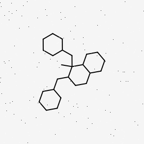 CC1(CC2CCCCC2)C(CC2CCCCC2)CCC2CCCCC21